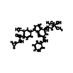 Cc1cc(-c2cnc3c(NCC(C)(C)O)cc(Nc4cccnc4)nn23)ccc1C(=O)NC1CC1